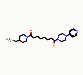 O=C(O)CC1CCN(C(=O)CCCCCCC(=O)N2CCN(c3ccncc3)CC2)CC1